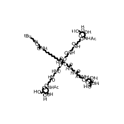 CC(=O)NC1CC(O)[C@H](O)C(CO)CO[C@@H]1OCCCCC(=O)NCCCNC(=O)CCOCC(COCCC(=O)NCCCNC(=O)CCCCO[C@H]1OCC(CO)[C@@H](O)C(O)CC1NC(C)=O)(COCCC(=O)NCCCNC(=O)CCCCO[C@H]1OC(CO)[C@@](C)(O)[C@@H](O)C1NC(C)=O)NC(=O)CCCCCCCCCCCNC(=O)CON=CCCC(C)(C)C